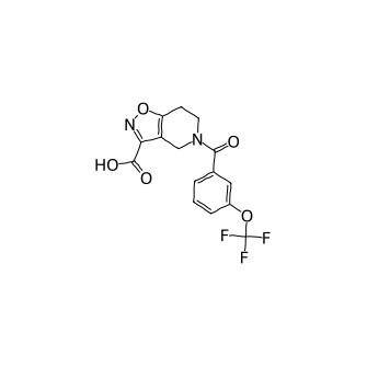 O=C(O)c1noc2c1CN(C(=O)c1cccc(OC(F)(F)F)c1)CC2